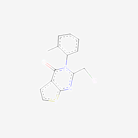 Cc1ccccc1-n1c(CCl)nc2sccc2c1=O